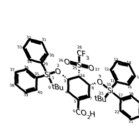 CC(C)(C)[Si](O[C@H]1CC(C(=O)O)=C[C@@H](O[Si](c2ccccc2)(c2ccccc2)C(C)(C)C)[C@H]1S(=O)(=O)C(F)(F)F)(c1ccccc1)c1ccccc1